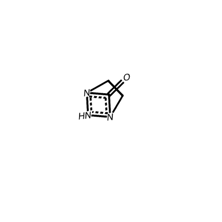 O=c1n2[nH]n1CC2